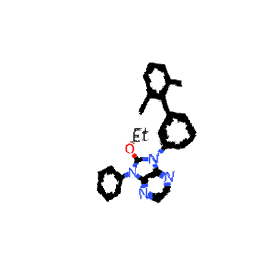 CCOC1N(c2ccccc2)c2nccnc2N1c1cccc(-c2c(C)cccc2C)c1